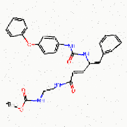 CC(C)(C)OC(=O)NCCNC(=O)C=C[C@H](Cc1ccccc1)NC(=O)Nc1ccc(Oc2ccccc2)cc1